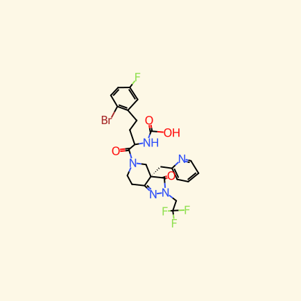 O=C(O)NC(CCc1cc(F)ccc1Br)C(=O)N1CCC2=NN(CC(F)(F)F)C(=O)[C@]2(Cc2ccccn2)C1